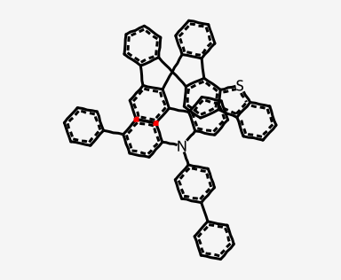 c1ccc(-c2ccc(N(c3ccc(-c4ccccc4)cc3)c3ccccc3-c3cccc4c3C3(c5ccccc5-4)c4ccccc4-c4c3ccc3c4sc4ccccc43)cc2)cc1